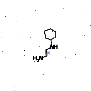 N/C=C/NC1CCCCC1